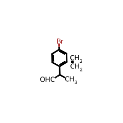 C=C.CC(C=O)c1ccc(Br)cc1